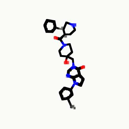 O=C([C@@H]1CCNC[C@H]1c1ccccc1)N1CCC(O)(Cn2cnc3c(ccn3-c3cccc(C(F)(F)F)c3)c2=O)CC1